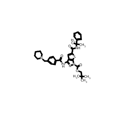 CC(C)(C)COC(=O)n1nc([AsH]C(=O)c2ccc(CN3CCCCC3)cc2)c2cc(C(=O)NC(C)(C)c3ccccc3)sc21